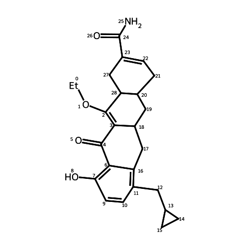 CCOC1=C2C(=O)c3c(O)ccc(CC4CC4)c3CC2CC2CC=C(C(N)=O)CC12